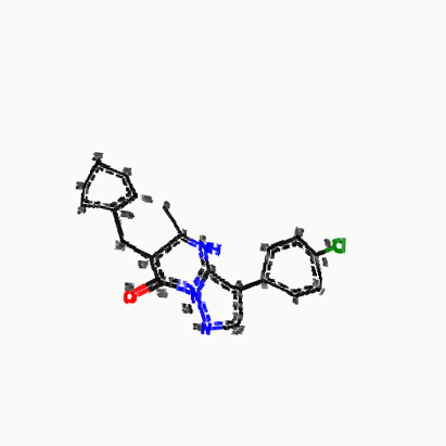 Cc1[nH]c2c(-c3ccc(Cl)cc3)cnn2c(=O)c1Cc1ccccc1